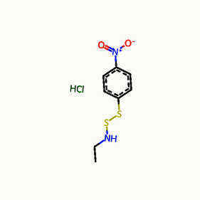 CCNSSc1ccc([N+](=O)[O-])cc1.Cl